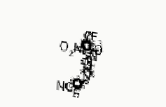 N#Cc1ccc(CN2CC3CN(c4nc(=O)c5cc(C(F)(F)F)cc([N+](=O)[O-])c5s4)CC3C2)cc1F